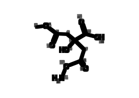 COC(=O)CC(O)(CC(=O)ON)C(=O)O